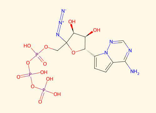 [N-]=[N+]=NC1(COP(=O)(O)OP(=O)(O)OP(=O)(O)O)O[C@@H](c2ccc3c(N)ncnn23)[C@H](O)[C@@H]1O